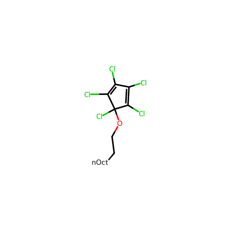 CCCCCCCCCCOC1(Cl)C(Cl)=C(Cl)C(Cl)=C1Cl